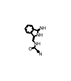 N#CC(=O)NC=C1NC(=N)c2ccccc21